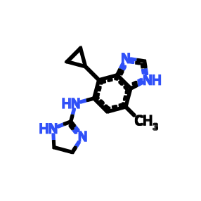 Cc1cc(NC2=NCCN2)c(C2CC2)c2nc[nH]c12